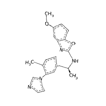 COc1ccc2oc(N[C@@H](C)c3ccc(C)c(-n4ccnc4)c3)nc2c1